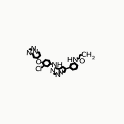 C=CC(=O)Nc1cccc(-c2cc3c(Nc4ccc(Oc5ccn6ncnc6c5)c(Cl)c4)ncnn3c2)c1